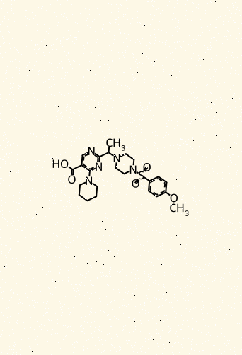 COc1ccc(S(=O)(=O)N2CCN(C(C)c3ncc(C(=O)O)c(N4CCCCC4)n3)CC2)cc1